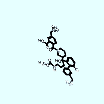 CCc1cccc(-c2c(Cl)cccc2C(O)(CCCNC(=O)OC)C2CCCN(C(=O)c3ccc(CNC)cc3C(=O)O)C2)c1